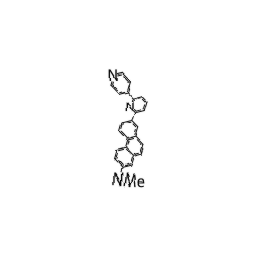 CNc1ccc2c(ccc3cc(-c4cccc(-c5ccncc5)n4)ccc32)c1